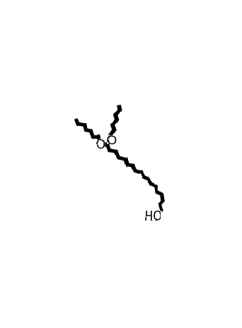 CCCCCCCOC(CCCCCCCCCCCCC/C=C\CCO)OCCCCCCC